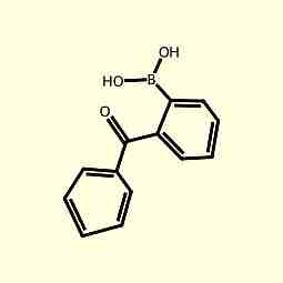 O=C(c1ccccc1)c1ccccc1B(O)O